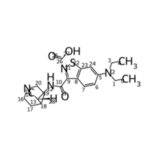 CCN(CC)c1ccc2c(C(=O)N[C@H]3CN4CCC3CC4)nsc2c1.O=CO